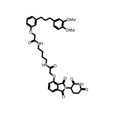 COc1ccc(CCCc2cccc(OCC(=O)NCCCCNC(=O)COc3cccc4c3C(=O)N(C3CCC(=O)NC3=O)C4=O)c2)cc1OC